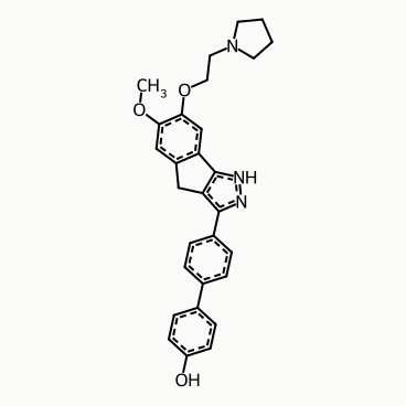 COc1cc2c(cc1OCCN1CCCC1)-c1[nH]nc(-c3ccc(-c4ccc(O)cc4)cc3)c1C2